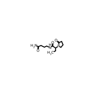 CCC(C(=O)NCCCC(N)=O)N1CCCC1=O